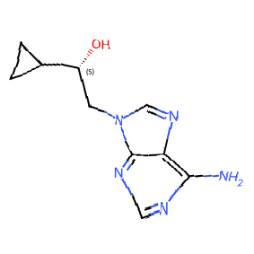 Nc1ncnc2c1ncn2C[C@@H](O)C1CC1